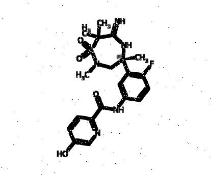 CN1C[C@@](C)(c2cc(NC(=O)c3ccc(O)cn3)ccc2F)NC(=N)C(C)(C)S1(=O)=O